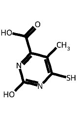 Cc1c(S)nc(O)nc1C(=O)O